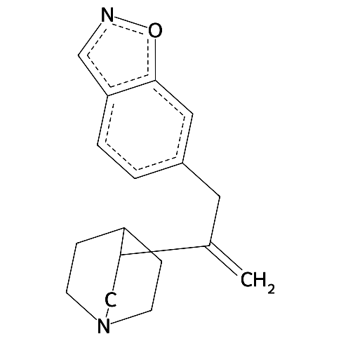 C=C(Cc1ccc2cnoc2c1)C1CN2CCC1CC2